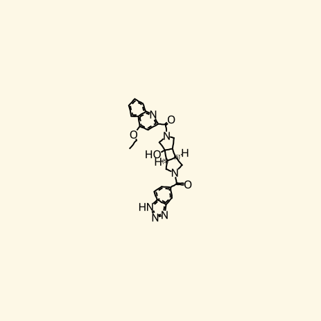 CCOc1cc(C(=O)N2CC3[C@H]4CN(C(=O)c5ccc6[nH]nnc6c5)C[C@H]4C3(O)C2)nc2ccccc12